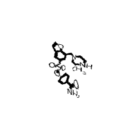 C[C@@H]1CN(Cc2cc(S(=O)(=O)Oc3ccc(C(N)=O)cc3)cc3ccoc23)CCN1